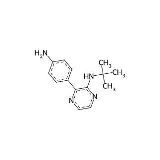 CC(C)(C)Nc1nccnc1-c1ccc(N)cc1